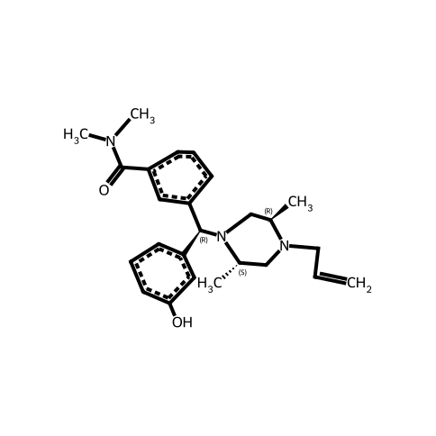 C=CCN1C[C@H](C)N([C@@H](c2cccc(O)c2)c2cccc(C(=O)N(C)C)c2)C[C@H]1C